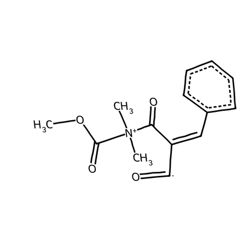 COC(=O)[N+](C)(C)C(=O)C([C]=O)=Cc1ccccc1